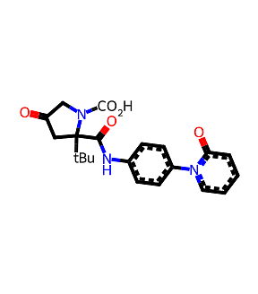 CC(C)(C)C1(C(=O)Nc2ccc(-n3ccccc3=O)cc2)CC(=O)CN1C(=O)O